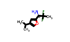 CC(C)c1coc([C@H](N)C(C)(F)F)c1